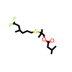 CC(C)CC(=O)OCC(C)(C)SCCCC(C)CC(F)F